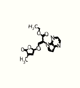 CCOC(=O)/C(=C/OC1C=C(C)C(=O)O1)n1ccc2nccnc21